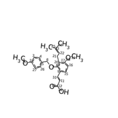 COc1ccc(COc2c(C=CC(=O)O)ccc(OC)c2CC=C(C)C)cc1